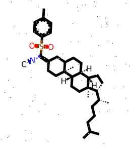 [C-]#[N+]/C(=C1\CC[C@@]2(C)C(CC[C@H]3[C@@H]4CC[C@H]([C@H](C)CCCC(C)C)[C@@]4(C)CC[C@@H]32)C1)S(=O)(=O)c1ccc(C)cc1